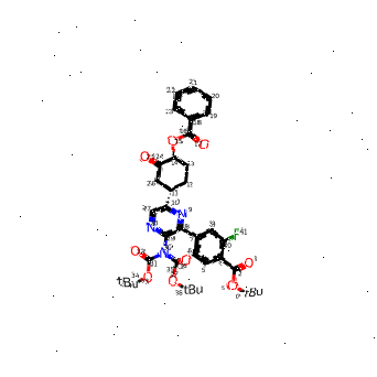 CC(C)(C)OC(=O)c1ccc(-c2nc([C@H]3CC[C@H](OC(=O)c4ccccc4)C(=O)C3)cnc2N(C(=O)OC(C)(C)C)C(=O)OC(C)(C)C)cc1F